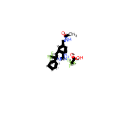 CC(=O)NCc1ccc2c(c1)CC(c1ccccc1)(C(F)(F)F)N=C2N.O=C(O)C(F)(F)F